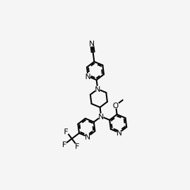 COc1ccncc1N(c1ccc(C(F)(F)F)nc1)C1CCN(c2ccc(C#N)cn2)CC1